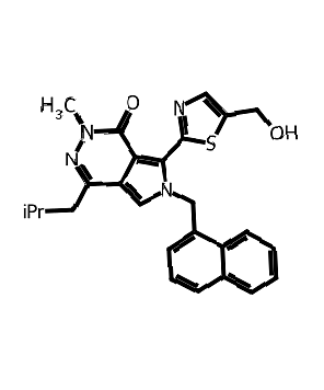 CC(C)Cc1nn(C)c(=O)c2c(-c3ncc(CO)s3)n(Cc3cccc4ccccc34)cc12